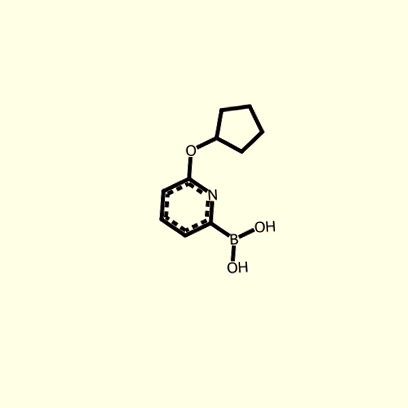 OB(O)c1cccc(OC2CCCC2)n1